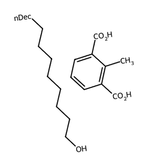 CCCCCCCCCCCCCCCCCCO.Cc1c(C(=O)O)cccc1C(=O)O